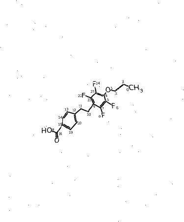 CCCOc1c(F)c(F)c(CCc2ccc(C(=O)O)cc2)c(F)c1F